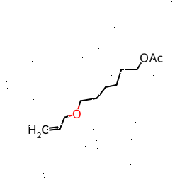 C=CCOCCCCCCOC(C)=O